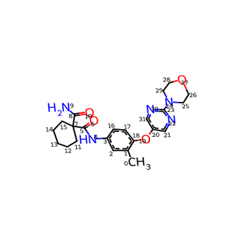 Cc1cc(NC(=O)C2(C(N)=O)CCCCC2)ccc1Oc1cnc(N2CCOCC2)nc1